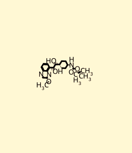 COc1cnc2cccc([C@H](O)[C@@H](O)[C@H]3CC[C@H](NC(=O)OC(C)(C)C)CC3)c2n1